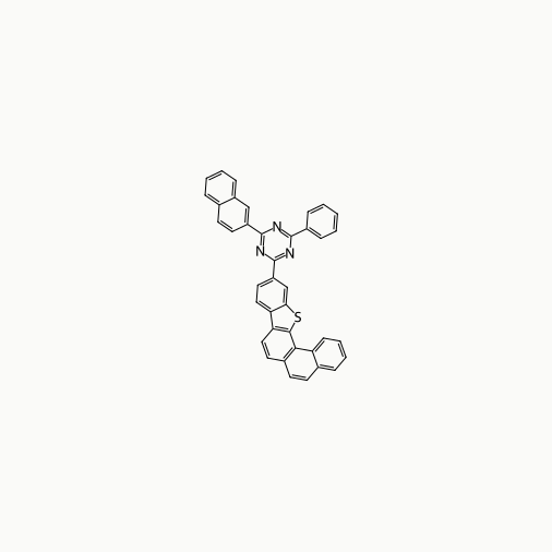 c1ccc(-c2nc(-c3ccc4ccccc4c3)nc(-c3ccc4c(c3)sc3c4ccc4ccc5ccccc5c43)n2)cc1